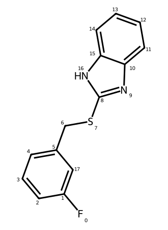 Fc1cccc(CSc2nc3ccccc3[nH]2)c1